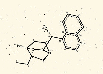 CCC1C[N@]2CC[C@H]1CC2[C@H](O)c1ccnc2ccccc12